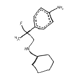 CC(F)(CNC1CCCCC1)c1ccc(N)cc1